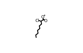 CCCCCCCC(Cl)C(=O)OC